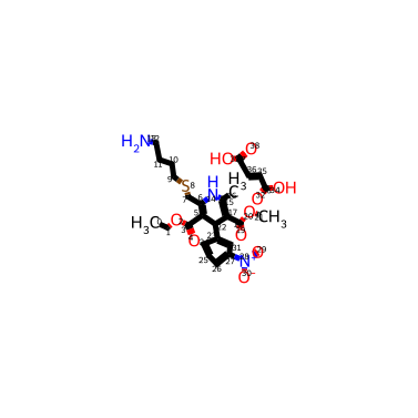 CCOC(=O)C1=C(CSCCCCN)NC(C)=C(C(=O)OC)C1c1cccc([N+](=O)[O-])c1.O=C(O)C=CC(=O)O